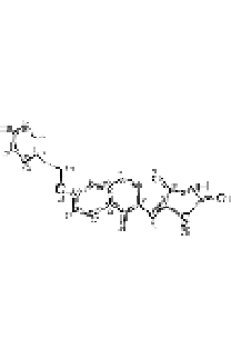 O=C1NC(=O)/C(=C\c2ccc3cc(OCc4ccccc4)ccc3n2)S1